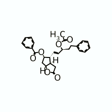 CC(=O)O[C@H](C=C[C@@H]1[C@H]2CC(=O)O[C@H]2C[C@H]1OC(=O)c1ccccc1)CCc1ccccc1